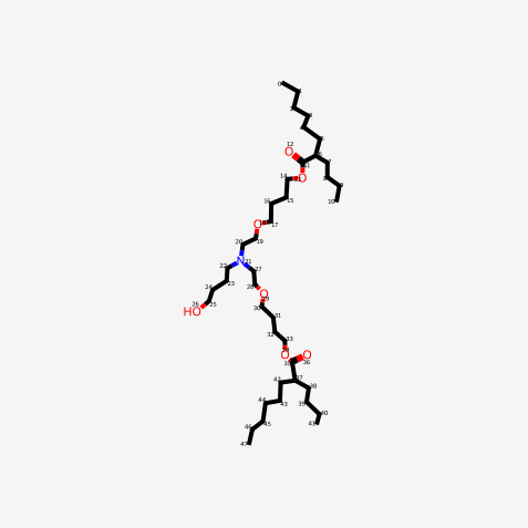 CCCCCCC(CCCC)C(=O)OCCCCOCCN(CCCCO)CCOCCCCOC(=O)C(CCCC)CCCCCC